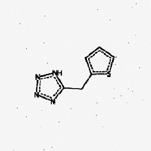 [c]1ccc(Cc2nnn[nH]2)s1